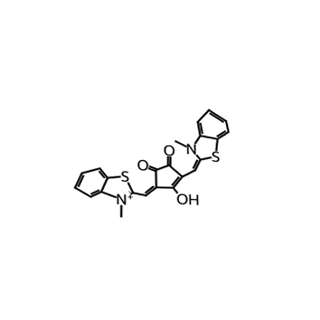 CN1/C(=C\C2=C(O)C(=C/c3sc4ccccc4[n+]3C)/C(=O)C2=O)Sc2ccccc21